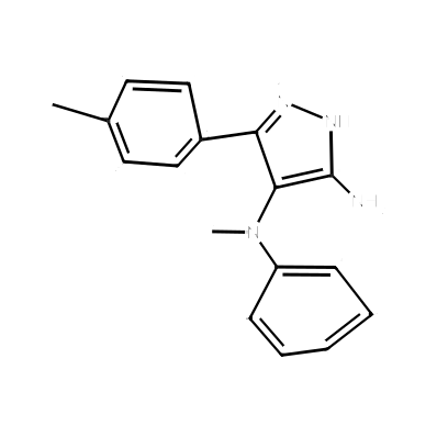 Cc1ccc(-c2n[nH]c(N)c2N(C)c2ccccc2)cc1